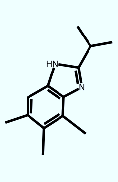 Cc1cc2[nH]c(C(C)C)nc2c(C)c1C